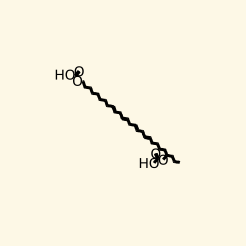 CCCC(CCCCC=CCC=CCC=CCC=CCCCCCCCCOC(=O)O)OC(=O)O